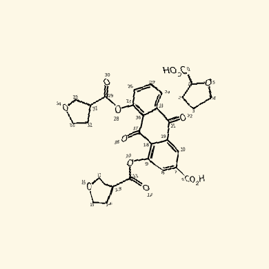 O=C(O)C1CCCO1.O=C(O)c1cc(OC(=O)C2CCOC2)c2c(c1)C(=O)c1cccc(OC(=O)C3CCOC3)c1C2=O